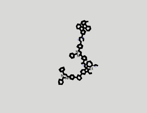 C=CC1=C(CC)C(/C=C/C(=C)c2cccc(-c3cc(-c4ccc(C/C=C\C(=C/C)c5ccc6c(c5)C5=C(C=CCC5)C65c6cccc(C)c6C6=CC=CCC65)cc4)nc(-c4ccccc4)n3)c2)(C2C=CC=C[C@@H](/C=C/C)C2)C2C=CC(C3=CC(c4ccc(C5C=C(c6ccccc6)N=C(C6=CC=CCC6)N5)cc4)CCC3)=CC12